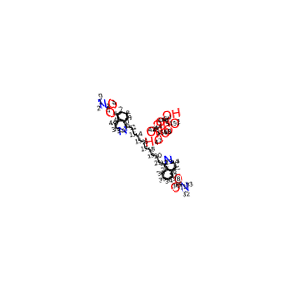 CN(C)C(=O)Oc1cccc2c(CCCCCCCCCCc3nccc4c(OC(=O)N(C)C)cccc34)nccc12.O=C(O)C(=O)O.O=C(O)C(=O)O